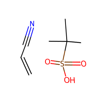 C=CC#N.CC(C)(C)S(=O)(=O)O